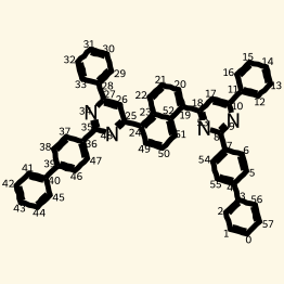 c1ccc(-c2ccc(-c3nc(-c4ccccc4)cc(-c4cccc5c(-c6cc(-c7ccccc7)nc(-c7ccc(-c8ccccc8)cc7)n6)cccc45)n3)cc2)cc1